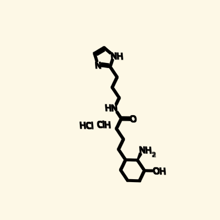 Cl.Cl.N[C@H]1C(O)CCCC1CCCC(=O)NCCCc1ncc[nH]1